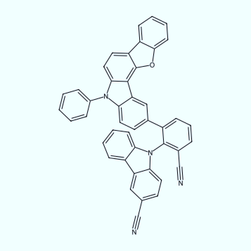 N#Cc1ccc2c(c1)c1ccccc1n2-c1c(C#N)cccc1-c1ccc2c(c1)c1c3oc4ccccc4c3ccc1n2-c1ccccc1